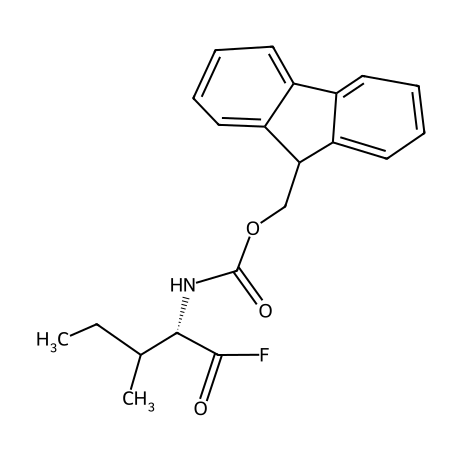 CCC(C)[C@H](NC(=O)OCC1c2ccccc2-c2ccccc21)C(=O)F